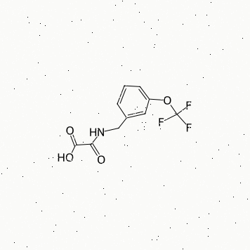 O=C(O)C(=O)NCc1cccc(OC(F)(F)F)c1